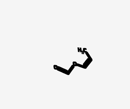 C/C=C\OC=O